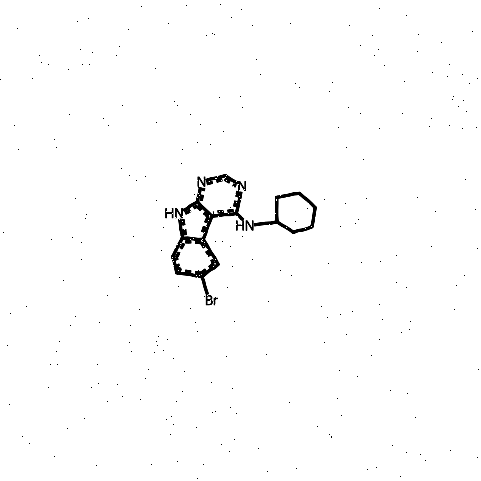 Brc1ccc2[nH]c3ncnc(NC4CCCCC4)c3c2c1